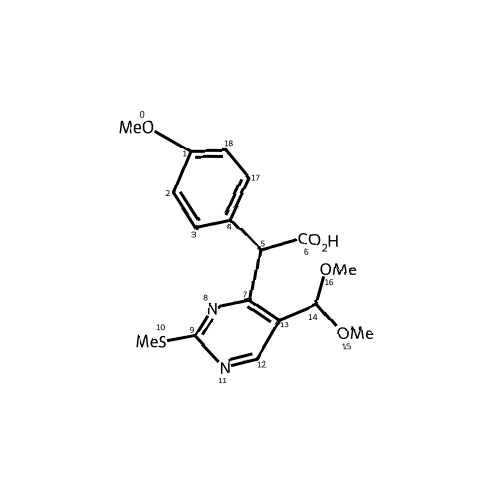 COc1ccc(C(C(=O)O)c2nc(SC)ncc2C(OC)OC)cc1